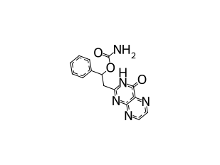 NC(=O)OC(Cc1nc2nccnc2c(=O)[nH]1)c1ccccc1